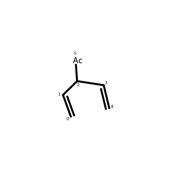 C=CC(C=C)C(C)=O